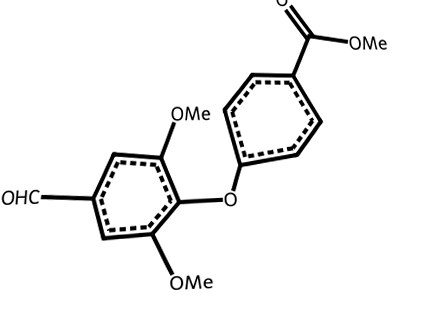 COC(=O)c1ccc(Oc2c(OC)cc(C=O)cc2OC)cc1